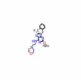 CCCCOc1nc(NCCN2CCOCC2)c2ncn(Cc3ccccc3C(F)(F)F)c2n1